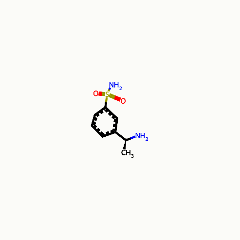 C[C@H](N)c1cccc(S(N)(=O)=O)c1